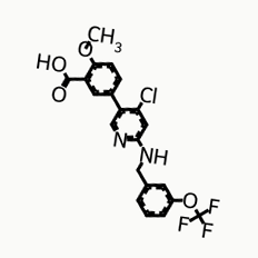 COc1ccc(-c2cnc(NCc3cccc(OC(F)(F)F)c3)cc2Cl)cc1C(=O)O